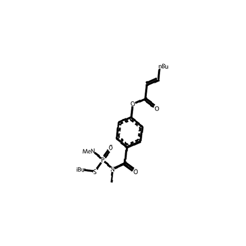 CCCCC=CC(=O)Oc1ccc(C(=O)N(C)P(=O)(NC)SC(C)CC)cc1